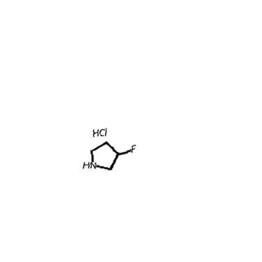 Cl.FC1CCNC1